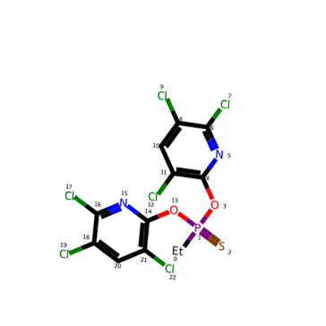 CCP(=S)(Oc1nc(Cl)c(Cl)cc1Cl)Oc1nc(Cl)c(Cl)cc1Cl